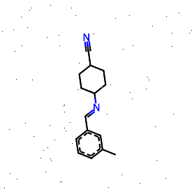 Cc1cccc(C=NC2CCC(C#N)CC2)c1